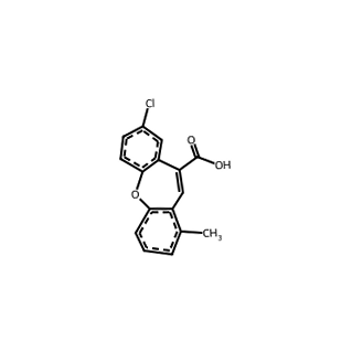 Cc1cccc2c1C=C(C(=O)O)c1cc(Cl)ccc1O2